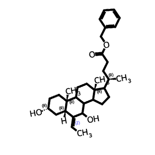 C/C=C1\C(O)C2C3CCC([C@H](C)CCC(=O)OCc4ccccc4)[C@@]3(C)CCC2[C@@]2(C)CC[C@@H](O)C[C@@H]12